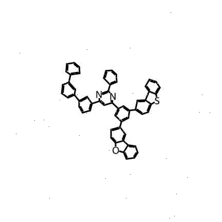 c1ccc(-c2cccc(-c3cccc(-c4cc(-c5cc(-c6ccc7oc8ccccc8c7c6)cc(-c6ccc7sc8ccccc8c7c6)c5)nc(-c5ccccc5)n4)c3)c2)cc1